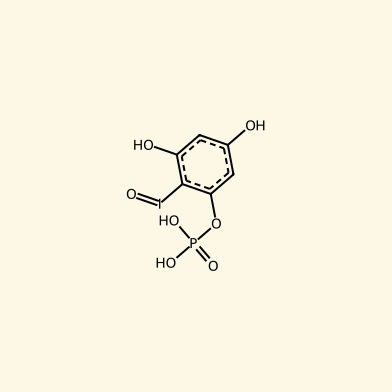 O=Ic1c(O)cc(O)cc1OP(=O)(O)O